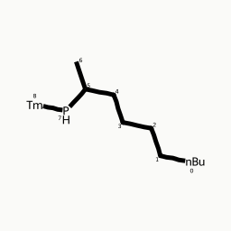 CCCCCCCCC(C)[PH][Tm]